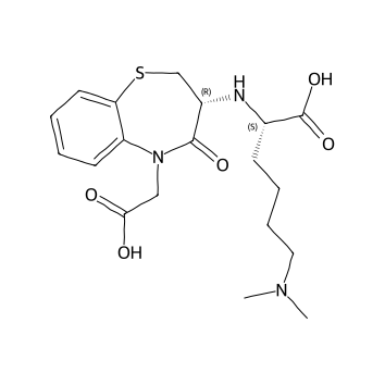 CN(C)CCCC[C@H](N[C@H]1CSc2ccccc2N(CC(=O)O)C1=O)C(=O)O